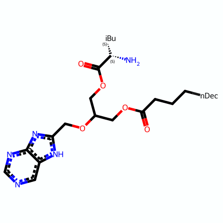 CCCCCCCCCCCCCC(=O)OCC(COC(=O)[C@@H](N)[C@@H](C)CC)OCc1nc2ncncc2[nH]1